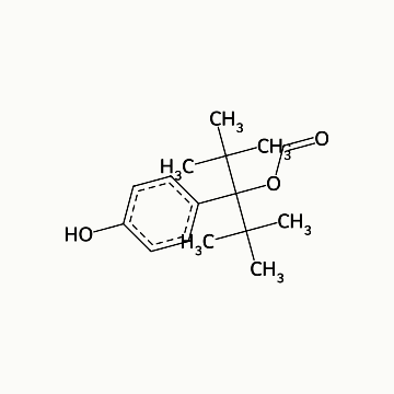 CC(C)(C)C(O[C]=O)(c1ccc(O)cc1)C(C)(C)C